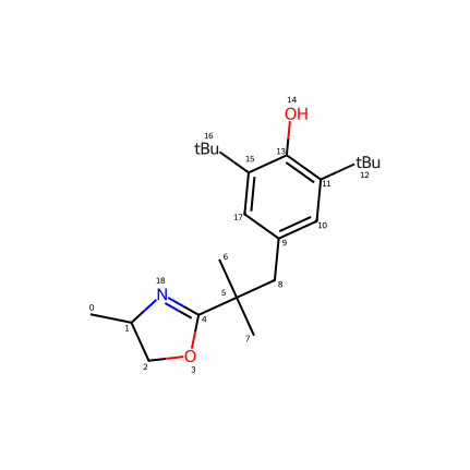 CC1COC(C(C)(C)Cc2cc(C(C)(C)C)c(O)c(C(C)(C)C)c2)=N1